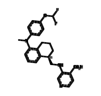 CN(c1ccc(OC(F)F)cc1)c1cccc2c1CCC[C@H]2CNc1cnccc1C(=O)O